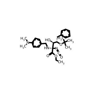 CCOC(=O)[C@@](N=C=O)(NCc1ccc(N(C)C)cc1)[C@@H](O)[C@H](Cc1ccccc1)OC(C)(C)C